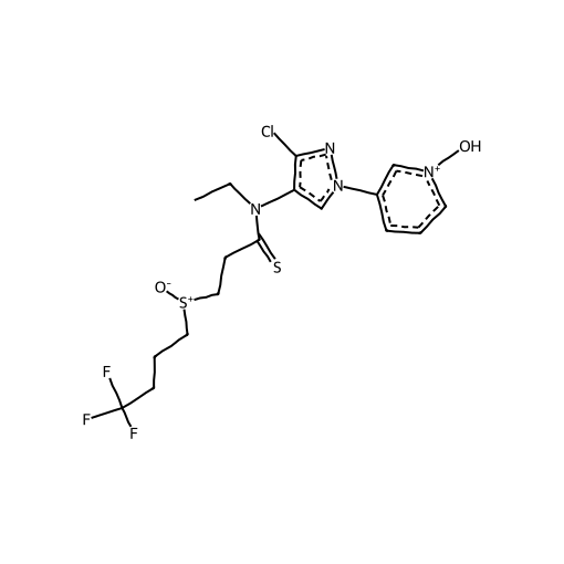 CCN(C(=S)CC[S+]([O-])CCCC(F)(F)F)c1cn(-c2ccc[n+](O)c2)nc1Cl